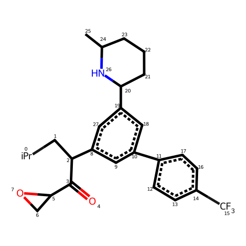 CC(C)CC(C(=O)C1CO1)c1cc(-c2ccc(C(F)(F)F)cc2)cc(C2CCCC(C)N2)c1